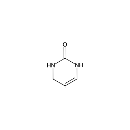 O=C1NC=[C]CN1